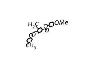 C=Cc1cc(C(=O)Oc2ccc(OC)cc2)ccc1COOc1ccc(C)cc1